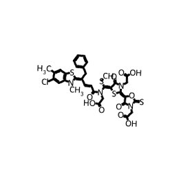 CS/C(=c1/s/c(=C2/OC(=S)N(CC(=O)O)C2=O)n(CC(=O)O)c1=O)N(CC(=O)O)C(=O)C=C/C(Cc1ccccc1)=C1/Sc2cc(C)c(Cl)cc2N1C